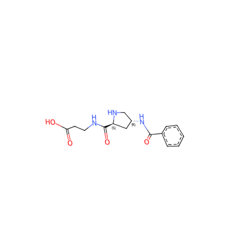 O=C(O)CCNC(=O)[C@@H]1C[C@@H](NC(=O)c2ccccc2)CN1